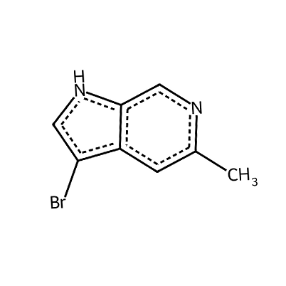 Cc1cc2c(Br)c[nH]c2cn1